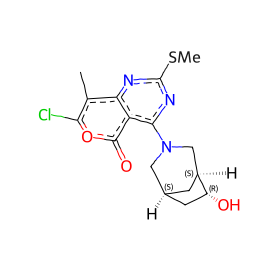 CSc1nc(N2C[C@H]3C[C@@H](C2)[C@H](O)C3)c2c(=O)oc(Cl)c(C)c2n1